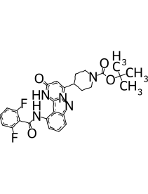 CC(C)(C)OC(=O)N1CCC(c2cc(=O)[nH]c3c4c(NC(=O)c5c(F)cccc5F)cccc4nn23)CC1